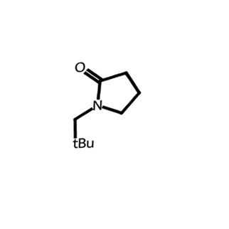 [CH2]C(C)(C)CN1CCCC1=O